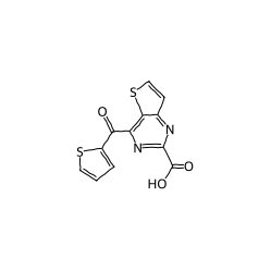 O=C(O)c1nc(C(=O)c2cccs2)c2sccc2n1